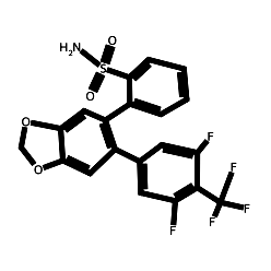 NS(=O)(=O)c1ccccc1-c1cc2c(cc1-c1cc(F)c(C(F)(F)F)c(F)c1)OCO2